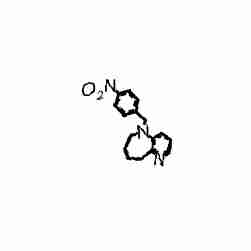 O=[N+]([O-])c1ccc(CN2CCCCc3ncccc32)cc1